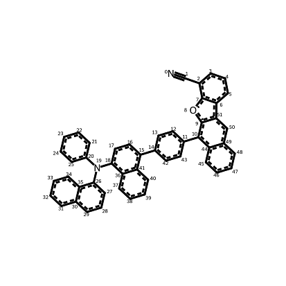 N#Cc1cccc2c1oc1c(-c3ccc(-c4ccc(N(c5ccccc5)c5cccc6ccccc56)c5ccccc45)cc3)c3ccccc3cc12